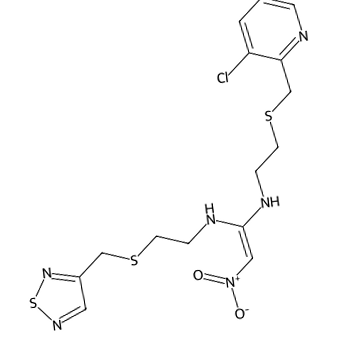 O=[N+]([O-])C=C(NCCSCc1cnsn1)NCCSCc1ncccc1Cl